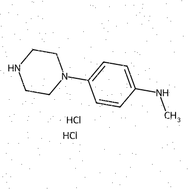 CNc1ccc(N2CCNCC2)cc1.Cl.Cl